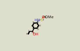 C=CC(O)c1ccc(NSOOC)cc1